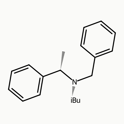 CC[C@@H](C)N(Cc1ccccc1)[C@@H](C)c1ccccc1